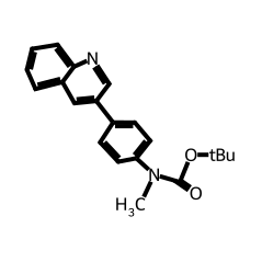 CN(C(=O)OC(C)(C)C)c1ccc(-c2cnc3ccccc3c2)cc1